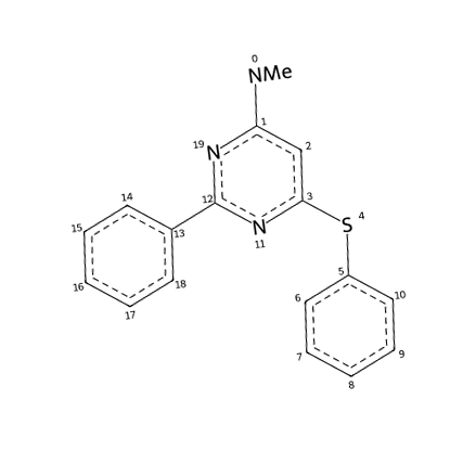 CNc1cc(Sc2ccccc2)nc(-c2ccccc2)n1